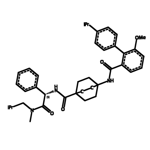 COc1cccc(C(=O)NC23CCC(C(=O)N[C@H](C(=O)N(C)CC(C)C)c4ccccc4)(CC2)CC3)c1-c1ccc(C(C)C)cc1